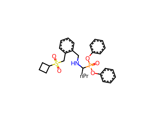 CCCC(NCc1ccccc1CS(=O)(=O)C1CCC1)P(=O)(Oc1ccccc1)Oc1ccccc1